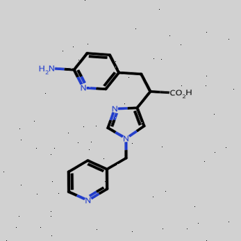 Nc1ccc(CC(C(=O)O)c2cn(Cc3cccnc3)cn2)cn1